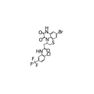 O=C(CC1CSc2cc(Br)cc3[nH]c(=O)c(=O)n1c23)Nc1cc(C(F)(F)F)ccc1Cl